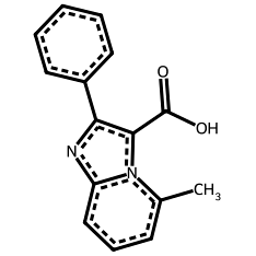 Cc1cccc2nc(-c3ccccc3)c(C(=O)O)n12